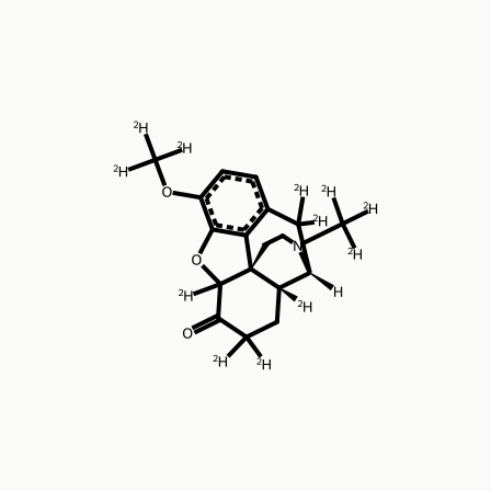 [2H]C([2H])([2H])Oc1ccc2c3c1OC1([2H])C(=O)C([2H])([2H])C[C@@]4([2H])[C@H](N(C([2H])([2H])[2H])CC[C@]314)C2([2H])[2H]